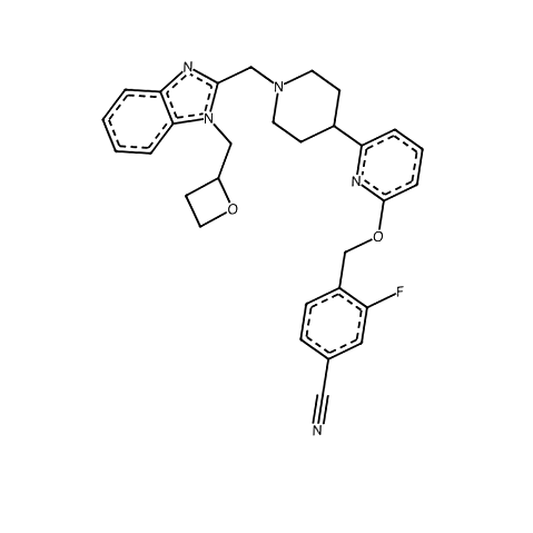 N#Cc1ccc(COc2cccc(C3CCN(Cc4nc5ccccc5n4CC4CCO4)CC3)n2)c(F)c1